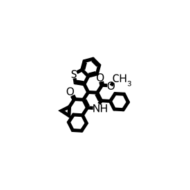 COC(=O)C1=C(C2CCCCC2)NC(C2CCCCC2)=C(C(=O)C2CC2)C1c1csc2ccccc12